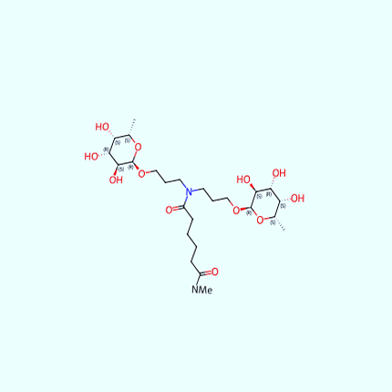 CNC(=O)CCCCC(=O)N(CCCO[C@@H]1O[C@@H](C)[C@@H](O)[C@@H](O)[C@@H]1O)CCCO[C@@H]1O[C@@H](C)[C@@H](O)[C@@H](O)[C@@H]1O